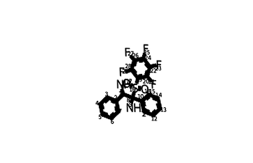 NC(c1ccccc1)C(N)(c1ccccc1)S(=O)(=O)c1c(F)c(F)c(F)c(F)c1F